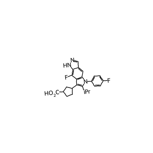 CC(C)c1c(C2CCC(C(=O)O)C2)c2c(F)c3[nH]ncc3cc2n1-c1ccc(F)cc1